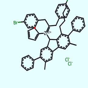 CCCCc1c(-c2ccccc2)c(C)cc2c1[CH]([Zr+2]([C]1=CC=CC1)=[C](Cc1ccc(Br)cc1)Cc1ccc(Br)cc1)c1cc(-c3ccccc3)c(C)cc1-2.[Cl-].[Cl-]